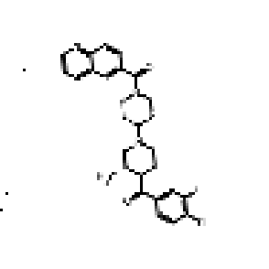 C[C@@H]1CN(C2CCN(C(=O)c3ccc4ncccc4c3)CC2)CC[C@H]1C(=O)c1ccc(Cl)c(Cl)c1